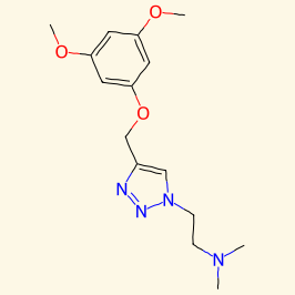 COc1cc(OC)cc(OCc2cn(CCN(C)C)nn2)c1